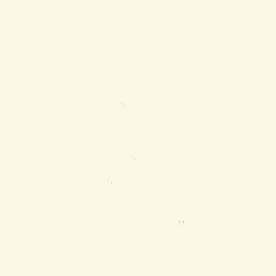 COc1ccc(Cc2cc(Nc3cccc(C(F)(F)F)c3)c3cccc(N)c3n2)cc1